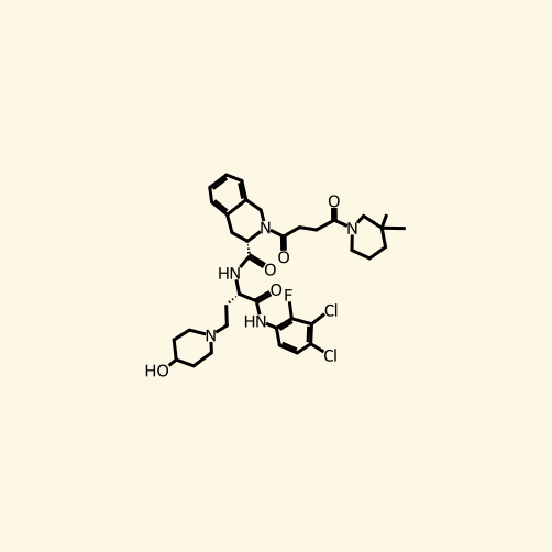 CC1(C)CCCN(C(=O)CCC(=O)N2Cc3ccccc3C[C@H]2C(=O)N[C@@H](CCN2CCC(O)CC2)C(=O)Nc2ccc(Cl)c(Cl)c2F)C1